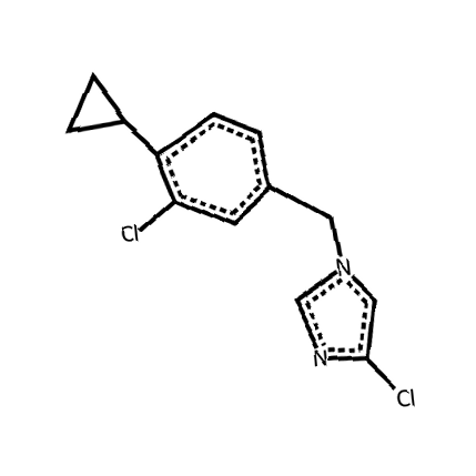 Clc1cn(Cc2ccc(C3CC3)c(Cl)c2)cn1